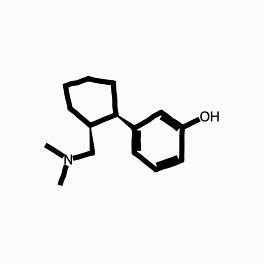 CN(C)C[C@H]1CCCC[C@H]1c1cccc(O)c1